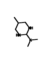 CC1CNC(N(C)C)NC1